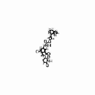 O=C1CC[C@@H](N2Cc3c(Cl)cc(CNC(=O)OC4CC(c5nccc6scnc56)C4)c(F)c3C2=O)C(=O)N1